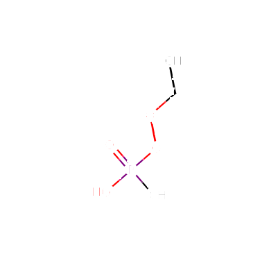 CCOOP(C)(=O)O